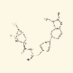 CC1=C2C[C@@H](C(=O)N[C@H](C#N)Cc3ccc(-c4ccc5oc(=O)n(C)c5c4)cc3)N[C@@H]12